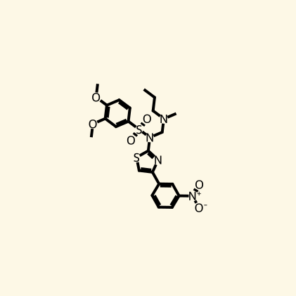 CCCN(C)CN(c1nc(-c2cccc([N+](=O)[O-])c2)cs1)S(=O)(=O)c1ccc(OC)c(OC)c1